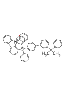 CC1(C)c2ccccc2-c2ccc(-c3ccc([Si](c4ccccc4)(c4ccccc4)c4cccc5c6ccccc6n(-c6ccccc6)c45)cc3)cc21